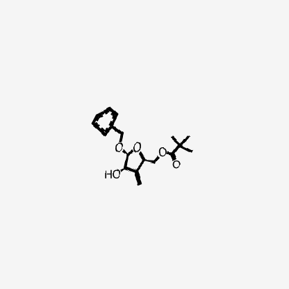 C=C1[C@H](COC(=O)C(C)(C)C)O[C@H](OCc2ccccc2)[C@@H]1O